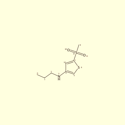 CCCNc1csc(S(C)(=O)=O)c1